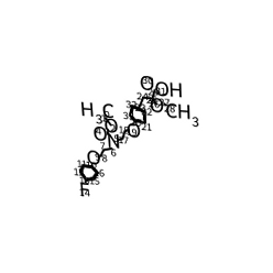 CCOC(=O)N(CCCOc1ccc(F)cc1)CCOc1ccc(CC(OCC)C(=O)O)cc1